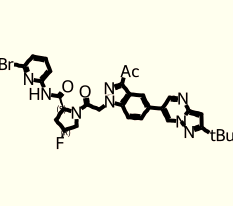 CC(=O)c1nn(CC(=O)N2C[C@H](F)C[C@H]2C(=O)Nc2cccc(Br)n2)c2ccc(-c3cnc4cc(C(C)(C)C)nn4c3)cc12